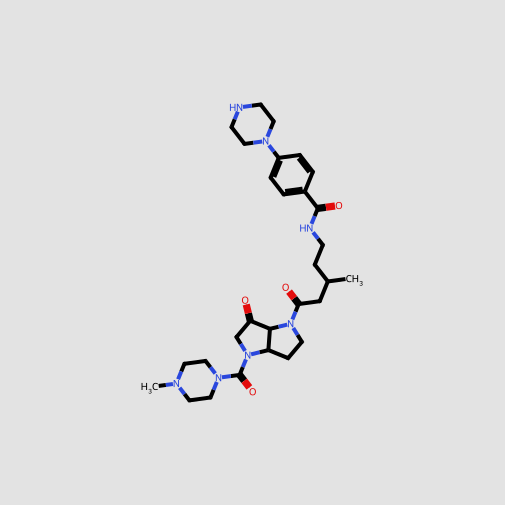 CC(CCNC(=O)c1ccc(N2CCNCC2)cc1)CC(=O)N1CCC2C1C(=O)CN2C(=O)N1CCN(C)CC1